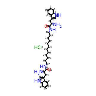 Cl.NC(Cc1c[nH]c2ccccc12)C(=O)NCCCCCCCCCCCCNC(=O)C(N)Cc1c[nH]c2ccccc12